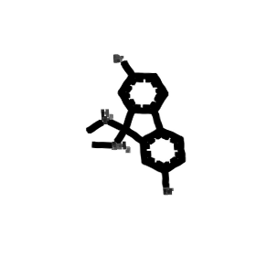 C[SiH2]C1([SiH2]C)c2cc(Br)ccc2-c2ccc(Br)cc21